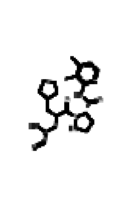 Cc1ccnc(NC(=O)[C@@H]2CCNN2C(=O)[C@H](CC2CCCC2)CN(O)C=O)c1C